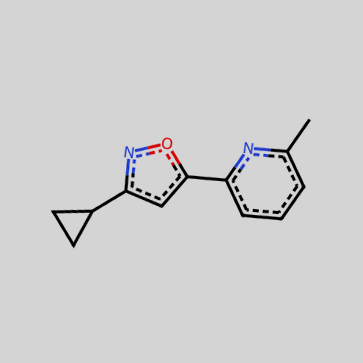 Cc1cccc(-c2cc(C3CC3)no2)n1